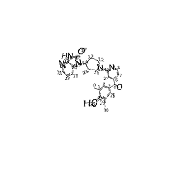 Cc1cc(C(=O)c2ccnc(N3CCC(n4c(=O)[nH]c5ncccc54)CC3)c2)cc(C)c1O